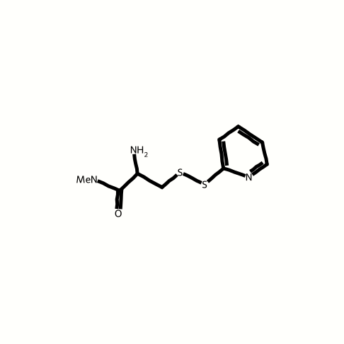 CNC(=O)C(N)CSSc1ccccn1